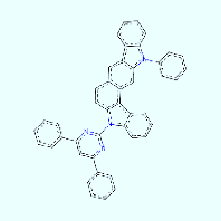 c1ccc(-c2cc(-c3ccccc3)nc(-n3c4ccccc4c4c5cc6c(cc5ccc43)c3ccccc3n6-c3ccccc3)n2)cc1